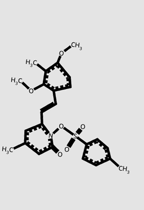 COc1ccc(C=Cc2cc(C)cc(=O)n2OS(=O)(=O)c2ccc(C)cc2)c(OC)c1C